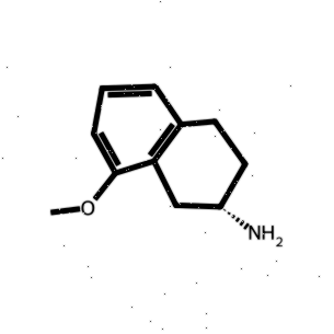 COc1cccc2c1C[C@@H](N)CC2